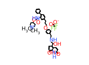 C[N+]1(C)CCC(OC(=O)Nc2cc(CCCOc3ccc(CCNC[C@H](O)c4ccc(O)c5[nH]c(=O)ccc45)cc3)ccc2-c2ccccc2)CC1.O=C([O-])C(F)(F)F